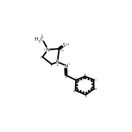 CN1CCN(/N=C/c2ccccc2)C1=S